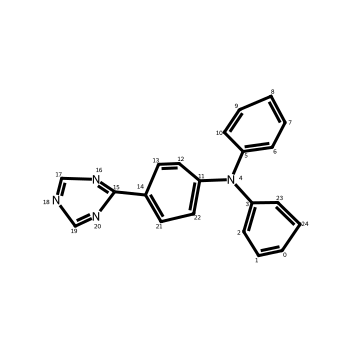 c1ccc(N(c2ccccc2)c2ccc(-c3ncncn3)cc2)cc1